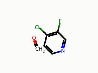 C=O.Fc1cnccc1Cl